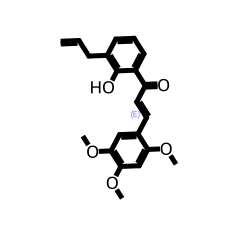 C=CCc1cccc(C(=O)/C=C/c2cc(OC)c(OC)cc2OC)c1O